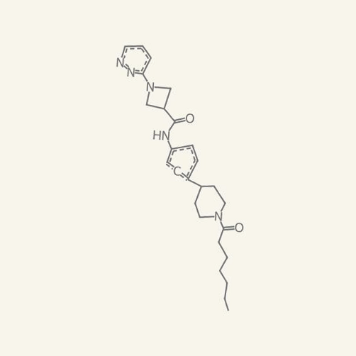 CCCCCCC(=O)N1CCC(c2ccc(NC(=O)C3CN(c4cccnn4)C3)cc2)CC1